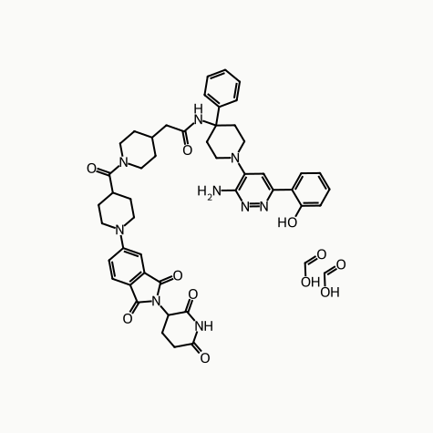 Nc1nnc(-c2ccccc2O)cc1N1CCC(NC(=O)CC2CCN(C(=O)C3CCN(c4ccc5c(c4)C(=O)N(C4CCC(=O)NC4=O)C5=O)CC3)CC2)(c2ccccc2)CC1.O=CO.O=CO